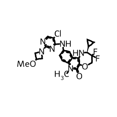 COC1CN(c2ncc(Cl)c(Nc3ccc4c(c3)c3c(c(=O)n4C)OCC(F)(F)[C@H](C4CC4)N3)n2)C1